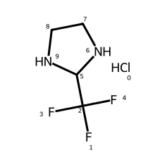 Cl.FC(F)(F)C1NCCN1